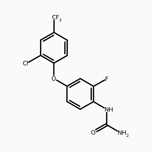 NC(=O)Nc1ccc(Oc2ccc(C(F)(F)F)cc2Cl)cc1F